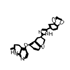 C=C1CCc2c(Oc3ccc4c(c3)CC(c3ncc(-c5ccc6c(c5)OCCO6)[nH]3)CO4)ccnc2N1